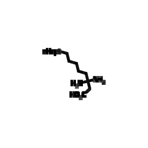 CCCCCCCCCCCCC(N)(N)CC(=O)O